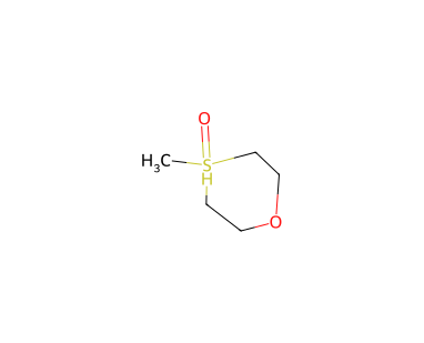 C[SH]1(=O)CCOCC1